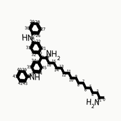 CC(N)CCCCCCCCCCCCCCC(N)C(c1ccc(Nc2ccccc2)cc1)c1ccc(Nc2ccccc2)cc1